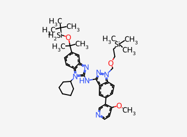 COc1ccncc1-c1ccc2c(c1)c(Nc1nc3cc(C(C)(C)O[SiH2]C(C)(C)C)ccc3n1C1CCCCC1)nn2COCC[Si](C)(C)C